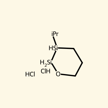 CC(C)[SiH]1CCCO[SiH2]1.Cl.Cl